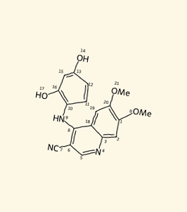 COc1cc2ncc(C#N)c(Nc3ccc(O)cc3O)c2cc1OC